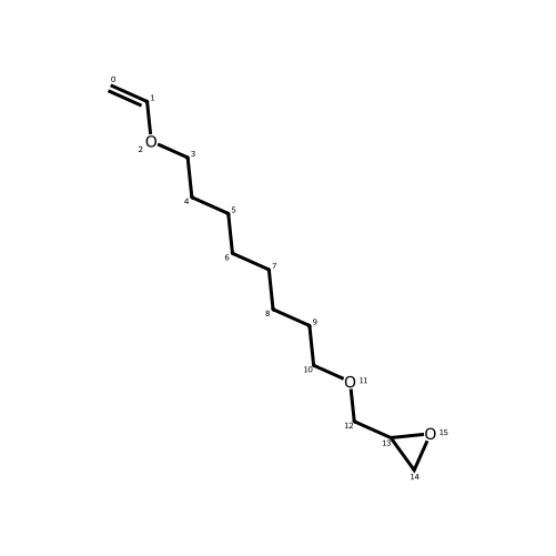 C=COCCCCCCCCOCC1CO1